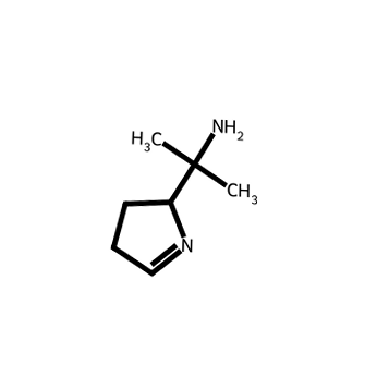 CC(C)(N)C1CCC=N1